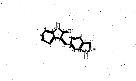 O=C1Nc2ccccc2C1=Cc1ccc2cn[nH]c2c1